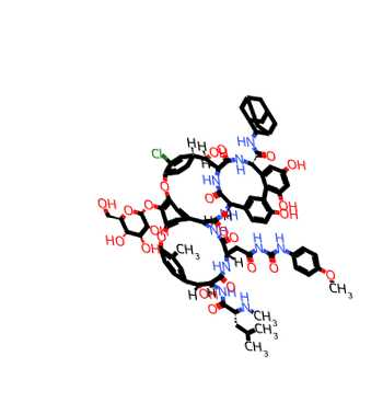 CN[C@H](CC(C)C)C(=O)N[C@H]1C(=O)N[C@@H](CC(=O)NC(=O)Nc2ccc(OC)cc2)C(=O)N[C@H]2C(=O)N[C@H]3C(=O)N[C@H](C(=O)N[C@H](C(=O)NC4C5CC6CC(C5)CC4C6)c4cc(O)cc(O)c4-c4cc3ccc4O)[C@H](O)[C@@H]3C=C(Cl)C(=CC3)Oc3cc2cc(c3O[C@@H]2O[C@H](CO)[C@@H](O)[C@H](O)[C@H]2O)Oc2ccc(cc2C)[C@H]1O